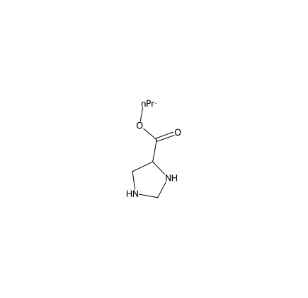 CC[CH]OC(=O)C1CNCN1